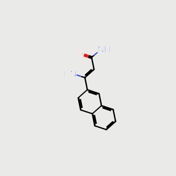 NC(=O)C=C(N)c1ccc2ccccc2c1